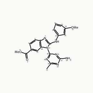 COC(=O)c1ccc2nc(Nc3cccc(OC)c3)n(-c3nc(C)nc(N)n3)c2c1